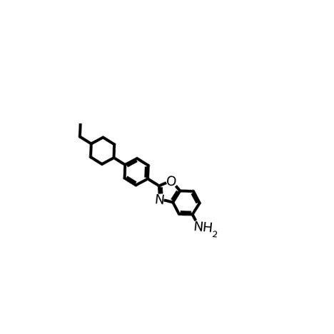 CCC1CCC(c2ccc(-c3nc4cc(N)ccc4o3)cc2)CC1